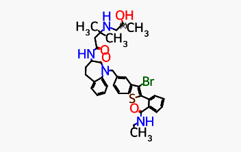 CCNC(=O)c1ccccc1-c1sc2ccc(CN3C(=O)C(NC(=O)CC(C)(C)NC[C@@H](C)O)CCc4ccccc43)cc2c1Br